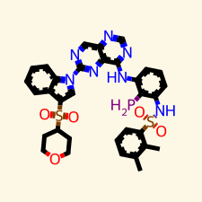 Cc1cccc(S(=O)(=O)Nc2cccc(Nc3ncnc4cnc(-n5cc(S(=O)(=O)C6CCOCC6)c6ccccc65)nc34)c2P)c1C